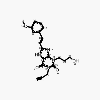 C#CCn1c(=O)c2[nH]c(C=Cc3cccc(OC)c3)nc2n(CCCO)c1=O